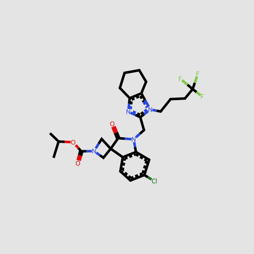 CC(C)OC(=O)N1CC2(C1)C(=O)N(Cc1nc3c(n1CCCC(F)(F)F)CCCC3)c1cc(Cl)ccc12